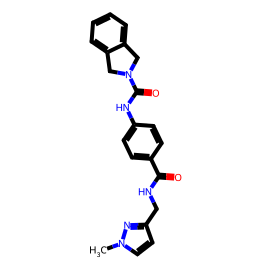 Cn1ccc(CNC(=O)c2ccc(NC(=O)N3Cc4ccccc4C3)cc2)n1